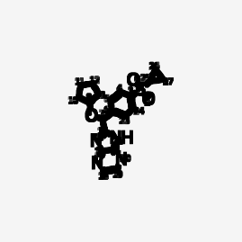 O=S(=O)(c1ccc(C(OC2CCCC2)c2nc3nccnc3[nH]2)cc1)C1CC1